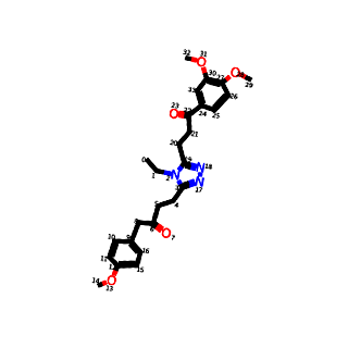 CCn1c(CCC(=O)Cc2ccc(OC)cc2)nnc1CCC(=O)c1ccc(OC)c(OC)c1